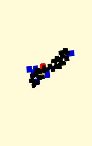 Cc1ccc2c(N)c(C(=O)NCCc3ccc(C4CCNC4)cc3)sc2n1